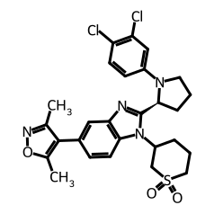 Cc1noc(C)c1-c1ccc2c(c1)nc([C@@H]1CCCN1c1ccc(Cl)c(Cl)c1)n2C1CCCS(=O)(=O)C1